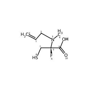 C=CCN(C)[C@@](F)(CS)C(=O)O